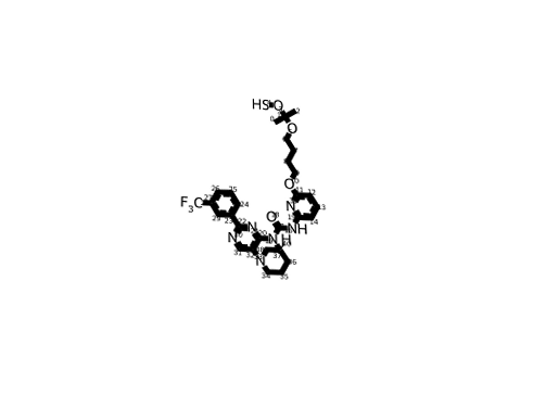 CC(C)(OS)OCCCCOc1cccc(NC(=O)N2c3nc(-c4cccc(C(F)(F)F)c4)ncc3N3CCC[C@H]2C3)n1